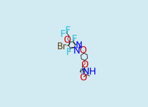 CC(=O)N[C@@H](C)CO[C@H]1CC[C@H](Oc2nc3c(F)c(Br)c(OCC(F)F)c(F)c3n2C)CC1